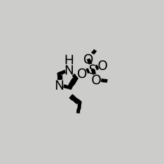 C=CC.COS(=O)(=O)OC.c1c[nH]cn1